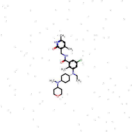 CCN(c1cc(Cl)cc(C(=O)NCc2c(C)cc(C)[nH]c2=O)c1C)[C@H]1CC[C@H](N(C)C2CCOCC2)CC1